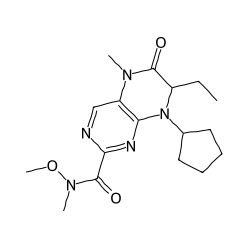 CCC1C(=O)N(C)c2cnc(C(=O)N(C)OC)nc2N1C1CCCC1